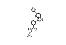 CN(C)CCNC(=O)c1cccc(-c2cnc3ccc(-c4ccoc4)nn23)c1